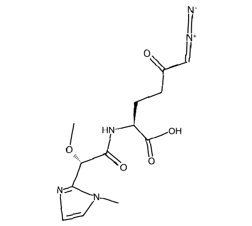 CO[C@H](C(=O)N[C@@H](CCC(=O)C=[N+]=[N-])C(=O)O)c1nccn1C